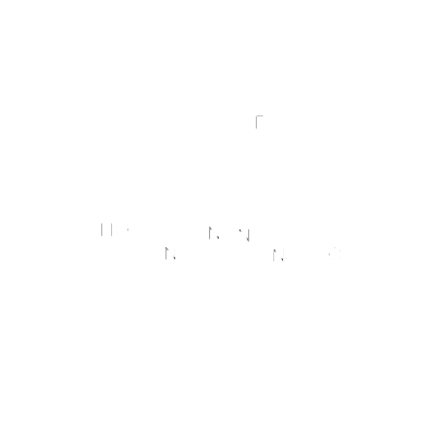 CCc1c(F)cccc1Cc1c(CO)nc2c(CC)cc(N3CCOCC3)nn12